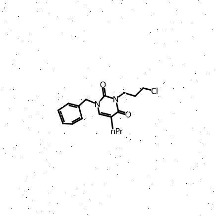 CCCc1cn(Cc2ccccc2)c(=O)n(CCCCl)c1=O